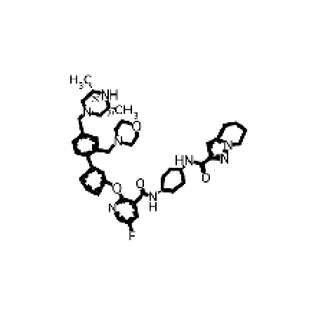 C[C@@H]1CN(Cc2ccc(-c3cccc(Oc4ncc(F)cc4C(=O)N[C@H]4CC[C@H](NC(=O)c5cc6n(n5)CCCC6)CC4)c3)c(CN3CCOCC3)c2)C[C@H](C)N1